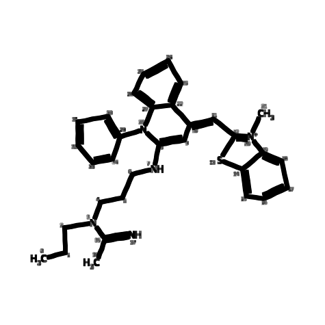 CCCN(CCCNC1=C/C(=C\c2sc3ccccc3[n+]2C)c2ccccc2N1c1ccccc1)C(C)=N